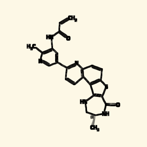 C=CC(=O)Nc1cc(-c2ccc3c(ccc4sc5c(c43)NC[C@@H](C)NC5=O)n2)cnc1C